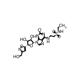 CCNS(=O)(=O)CCNc1nc(Cl)nc2c1ncn2[C@@H]1O[C@H](c2cc(CO)no2)[C@@H](O)[C@H]1O